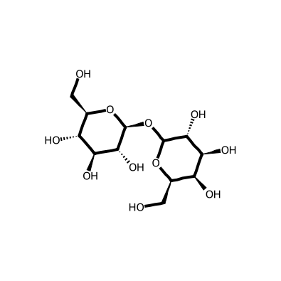 OC[C@H]1OC(O[C@@H]2O[C@H](CO)[C@@H](O)[C@H](O)[C@H]2O)[C@H](O)[C@@H](O)[C@H]1O